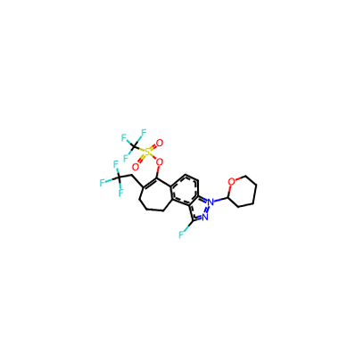 O=S(=O)(OC1=C(CC(F)(F)F)CCCc2c1ccc1c2c(F)nn1C1CCCCO1)C(F)(F)F